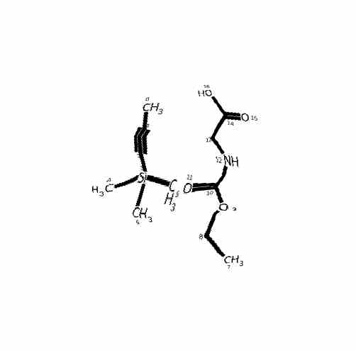 CC#C[Si](C)(C)C.CCOC(=O)NCC(=O)O